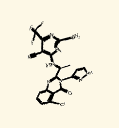 C[C@H](Nc1nc(N)nc(C(F)(F)F)c1C#N)c1nc2cccc(Cl)c2c(=O)n1-c1cc[nH]n1